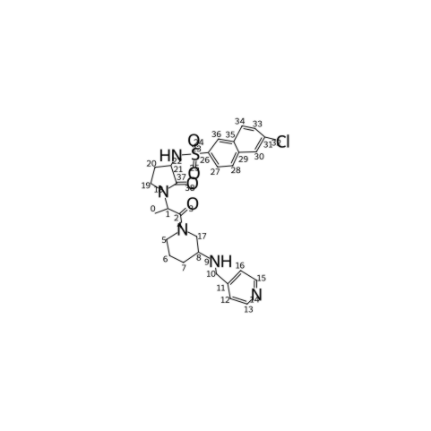 CC(C(=O)N1CCCC(NCc2ccncc2)C1)N1CCC(NS(=O)(=O)c2ccc3cc(Cl)ccc3c2)C1=O